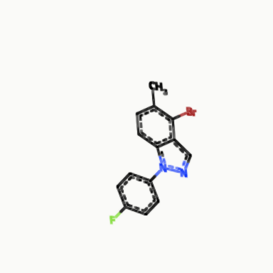 Cc1ccc2c(cnn2-c2ccc(F)cc2)c1Br